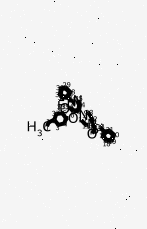 CCC1CCC(Oc2c(N3CCN([S+]([O-])Cc4ccccc4)CC3)cnn(-c3ccccc3F)c2=O)CC1